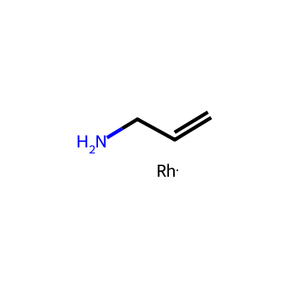 C=CCN.[Rh]